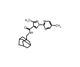 Cc1cnc(-n2cc(C(=O)NCC34CC5CC(CC(C5)C3)C4)c(C)n2)nc1